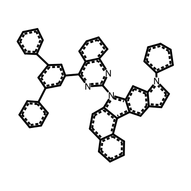 c1ccc(-c2cc(-c3ccccc3)cc(-c3nc(-n4c5cc6c(ccn6-c6ccccc6)cc5c5c6ccccc6ccc54)nc4ccccc34)c2)cc1